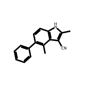 Cc1[nH]c2ccc(-c3ccccc3)c(C)c2c1C#N